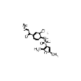 CC(=O)SCC(=O)C1=CC(C)C(NS(=O)(=O)c2cc(C)oc2C)C=C1